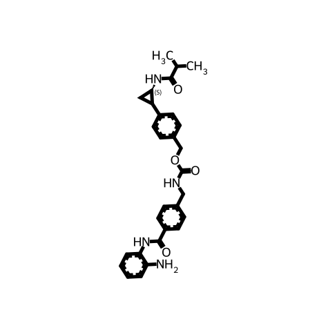 CC(C)C(=O)N[C@H]1CC1c1ccc(COC(=O)NCc2ccc(C(=O)Nc3ccccc3N)cc2)cc1